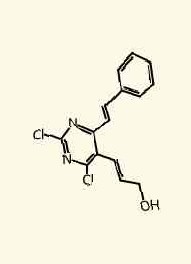 OCC=Cc1c(Cl)nc(Cl)nc1C=Cc1ccccc1